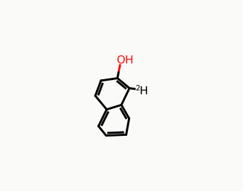 [2H]c1c(O)ccc2ccccc12